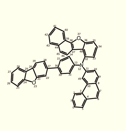 c1ccc2c(c1)ccc1ccc(N(c3ccc(-c4ccc5c(c4)oc4ccccc45)cc3)c3cccc4oc5c6ccccc6ccc5c34)cc12